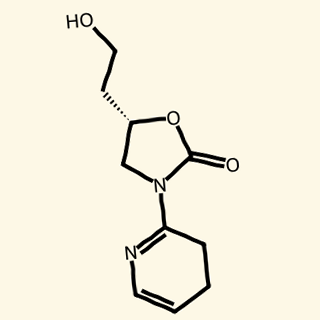 O=C1O[C@@H](CCO)CN1C1=NC=CCC1